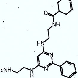 CC(=O)NCCNc1cc(NCCNC(=O)C2CC=CCC2)nc(-c2ccccc2)n1